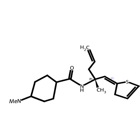 C=CC[C@](C)(/C=C1\CC=CS1)NC(=O)C1CCC(NC)CC1